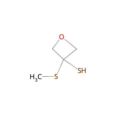 CSC1(S)COC1